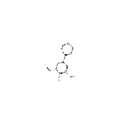 Bc1c(C=O)cc(-c2ccccn2)cc1CC